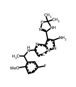 COc1ccc(F)cc1C(C)Nc1ccn2nc(N)c(C3=NOC(C)(C)N3)c2n1